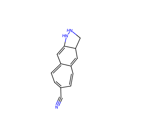 N#CC1=CC=C2C=C3NNCC3C=C2C=C1